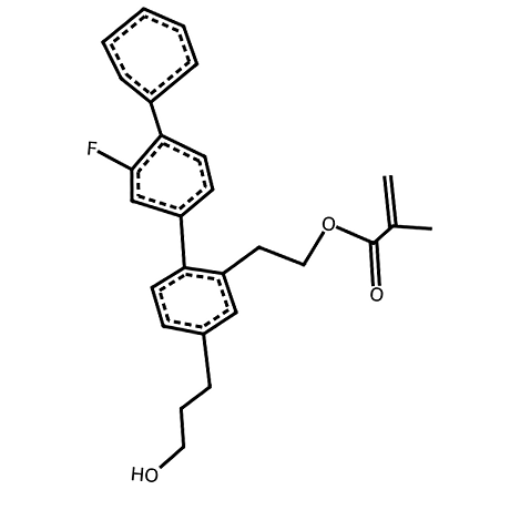 C=C(C)C(=O)OCCc1cc(CCCO)ccc1-c1ccc(-c2ccccc2)c(F)c1